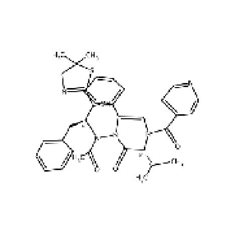 CC(=O)N([C@@H](Cc1ccccc1)C(O)C1=NCC(C)(C)S1)N1C(=O)[C@@H](C(C)C)N(C(=O)c2ccncc2)C=C1c1ccccc1